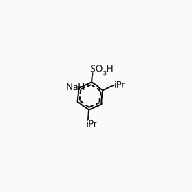 CC(C)c1ccc(S(=O)(=O)O)c(C(C)C)c1.[NaH]